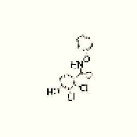 O=C(NOc1ccccc1)c1ccc(O)c(Cl)c1Cl